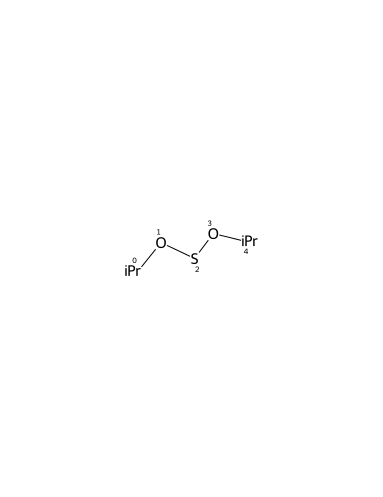 CC(C)OSOC(C)C